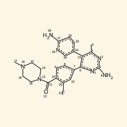 Cc1nc(N)nc(-c2ccc(C(=O)N3CCN(C)CC3)c(F)c2)c1-c1ccc(N)nc1